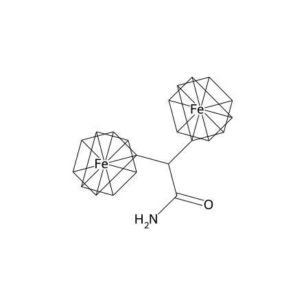 NC(=O)C([C]12[CH]3[CH]4[CH]5[CH]1[Fe]45321678[CH]2[CH]1[CH]6[CH]7[CH]28)[C]12[CH]3[CH]4[CH]5[CH]1[Fe]45321678[CH]2[CH]1[CH]6[CH]7[CH]28